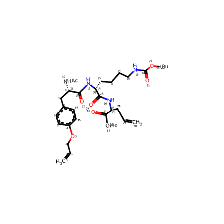 C=CCOc1ccc(C[C@H](NC(C)=O)C(=O)N[C@H](CCCCNC(=O)OC(C)(C)C)C(=O)N[C@@H](CC=C)C(=O)OC)cc1